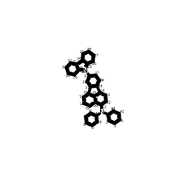 c1ccc(N(c2ccccc2)c2ccc3c4c(cccc24)-c2cc(-n4c5ccccc5c5ccccc54)ccc2-3)cc1